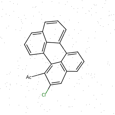 CC(=O)c1c(Cl)cc2cccc3c4cccc5cccc(c1c23)c54